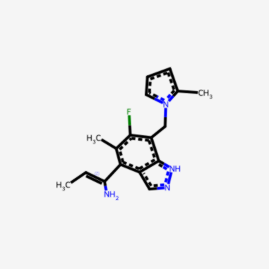 C/C=C(\N)c1c(C)c(F)c(Cn2cccc2C)c2[nH]ncc12